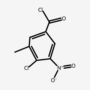 Cc1cc(C(=O)Cl)cc([N+](=O)[O-])c1Cl